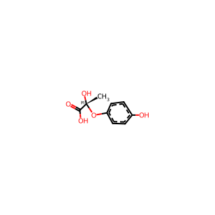 C[C@@](O)(Oc1ccc(O)cc1)C(=O)O